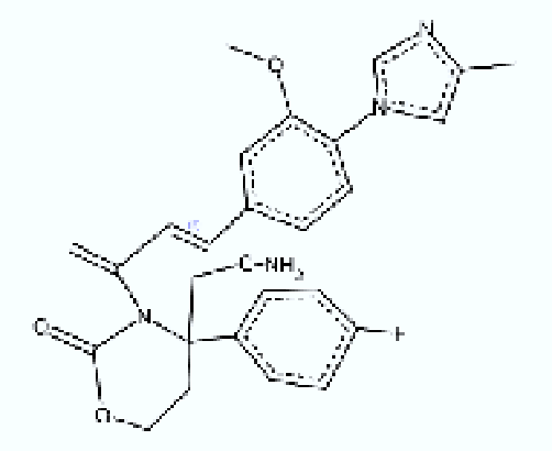 C=C(/C=C/c1ccc(-n2cnc(C)c2)c(OC)c1)N1C(=O)OCCC1(CCN)c1ccc(F)cc1